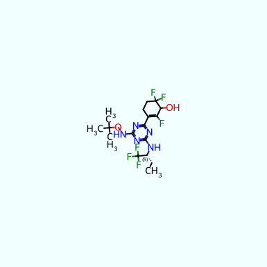 CC[C@@H](Nc1nc(NOC(C)(C)C)nc(C2=C(F)C(O)C(F)(F)CC2)n1)C(F)(F)F